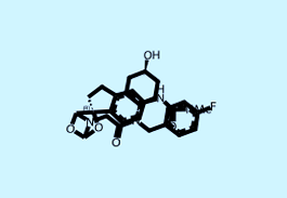 CNC(=O)Nc1ccc2c(c1)CC[C@@]21OC2OC1N2CC(=O)N(Cc1ccc(F)cc1)[C@H]1CC[C@H](O)CC1